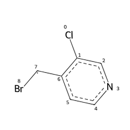 Clc1cnccc1[CH]Br